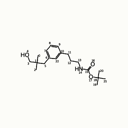 CC(C)(CO)Cc1cccc(CCCNC(=O)OC(C)(C)C)c1